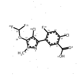 Cn1nc(-c2cc(C(=O)O)c(Cl)cc2F)c(Cl)c1OC(F)F